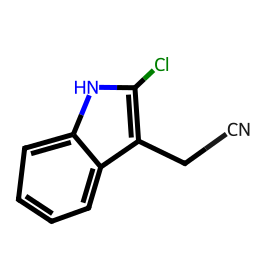 N#CCc1c(Cl)[nH]c2ccccc12